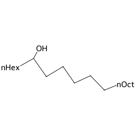 CCCCCCCCCCCCCC(O)CCCCCC